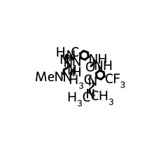 CNc1cc(-n2ncnc2Nc2cc(NC(=O)Nc3cc(N(C)CCN(C)C)cc(C(F)(F)F)c3)ccc2C)ncn1